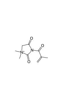 C=C(C)C(=O)N1C(=O)C[N+](C)(C)C1=O